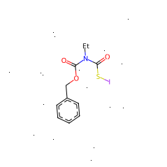 CCN(C(=O)OCc1ccccc1)C(=O)SI